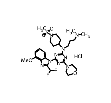 COc1cccc2c1nc(C(F)F)n2-c1nc(N2CCOCC2)nc(N(CCCN(C)C)C2CCN(S(C)(=O)=O)CC2)n1.Cl